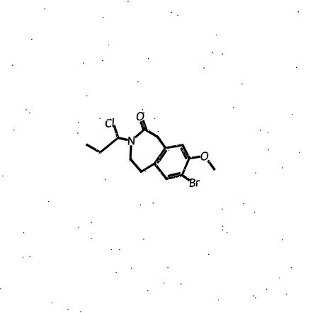 CCC(Cl)N1CCc2cc(Br)c(OC)cc2CC1=O